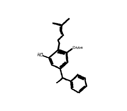 COc1cc(C(C)c2ccccc2)cc(O)c1CC=C(C)C